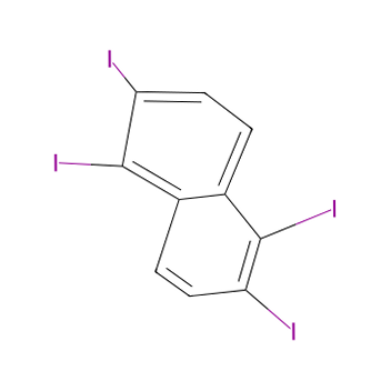 Ic1ccc2c(I)c(I)ccc2c1I